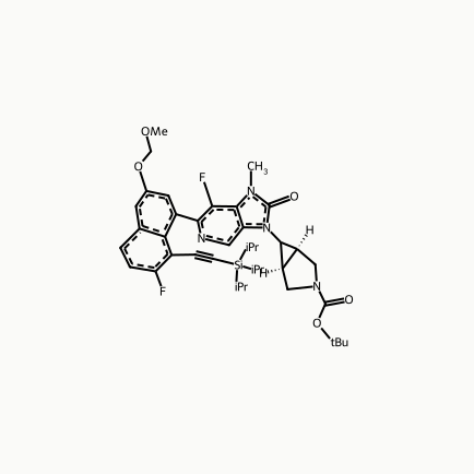 COCOc1cc(-c2ncc3c(c2F)n(C)c(=O)n3C2[C@H]3CN(C(=O)OC(C)(C)C)C[C@@H]23)c2c(C#C[Si](C(C)C)(C(C)C)C(C)C)c(F)ccc2c1